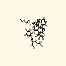 CCCCOCCCN1C(C(C(=O)Nc2cc(C)ccc2SCC(CC)CCCC)N2C(=O)OC(C)(C)C2=O)=Nc2ccccc2S1(=O)=O